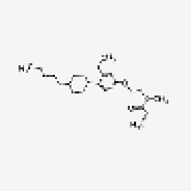 C=CC(=O)N(C)CCOc1ccc(C2CCC(CCCCC)CC2)c(CC)c1